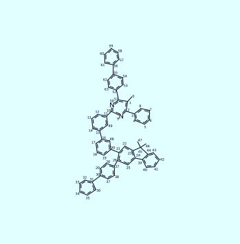 Cc1c(-c2ccccc2)nc(-c2cccc(-c3cccc(-c4cc5c(cc4-c4ccc(-c6ccccc6)cc4)-c4ccccc4C5(C)C)c3)c2)nc1-c1ccc(-c2ccccc2)cc1